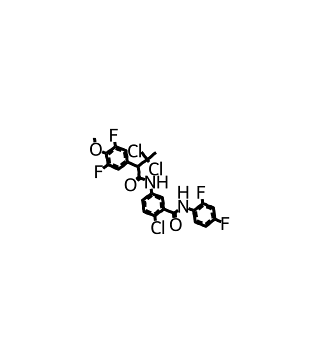 COc1c(F)cc(C(C(=O)Nc2ccc(Cl)c(C(=O)Nc3ccc(F)cc3F)c2)C(C)(Cl)Cl)cc1F